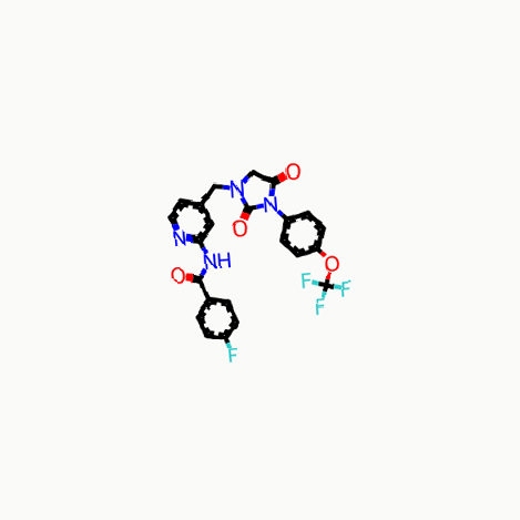 O=C(Nc1cc(CN2CC(=O)N(c3ccc(OC(F)(F)F)cc3)C2=O)ccn1)c1ccc(F)cc1